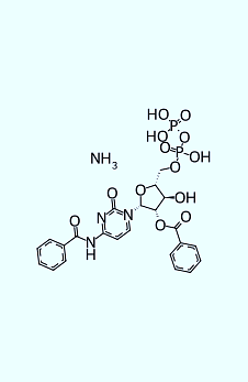 N.O=C(Nc1ccn([C@@H]2O[C@H](COP(=O)(O)OP(=O)(O)O)[C@@H](O)[C@@H]2OC(=O)c2ccccc2)c(=O)n1)c1ccccc1